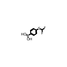 OB(O)c1ccc(SC(F)F)cc1